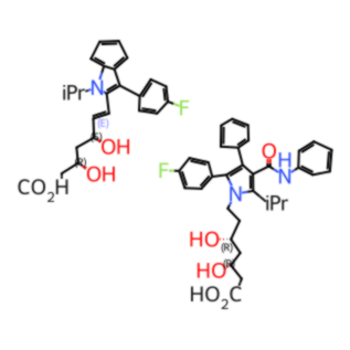 CC(C)c1c(C(=O)Nc2ccccc2)c(-c2ccccc2)c(-c2ccc(F)cc2)n1CC[C@@H](O)C[C@@H](O)CC(=O)O.CC(C)n1c(/C=C/[C@@H](O)C[C@@H](O)CC(=O)O)c(-c2ccc(F)cc2)c2ccccc21